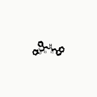 O=C(Cc1cccc2ccccc12)NCCC(C(=O)c1nc2ccccc2o1)c1ccccc1